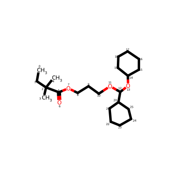 CCC(C)(C)C(=O)OCCCOC(OC1CCCCC1)C1CCCCC1